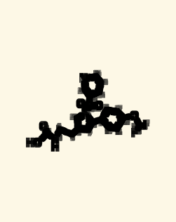 O=C(O)NCCc1cc(-c2ccc(OC(F)F)cc2)n(S(=O)(=O)c2cccnc2)c1